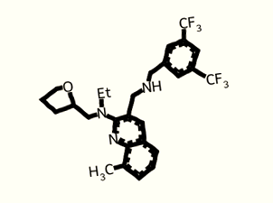 CCN(CC1CCCO1)c1nc2c(C)cccc2cc1CNCc1cc(C(F)(F)F)cc(C(F)(F)F)c1